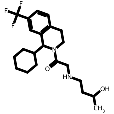 CC(O)CCNCC(=O)N1CCc2ccc(C(F)(F)F)cc2C1C1CCCCC1